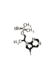 CC(CO[Si](C)(C)C(C)(C)C)n1cc(I)c2cncnc21